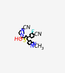 Cn1cc2cc(-c3sc(C(O)N4CCCN(CC#N)CC4)cc3-c3ccc(C#N)c(F)c3)ccc2n1